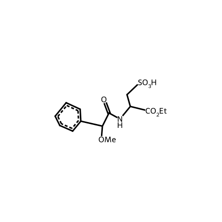 CCOC(=O)C(CS(=O)(=O)O)NC(=O)C(OC)c1ccccc1